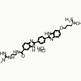 CN(C)CCCOc1ccc2nc(-c3ccc(-c4nc5ccc(C(=O)NCCNC(=N)N)cc5[nH]4)cc3)[nH]c2c1.Cl.Cl